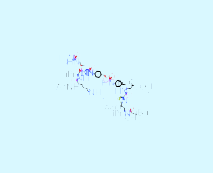 CC[C@H](C)CC(=O)N(C)[C@H](C[C@@H](OC(C)=O)c1nc(C(=O)N[C@@H](Cc2ccc(NC(=O)OCc3ccc(NC(=O)[C@H](CCCNC(N)=O)NC(=O)[C@@H](NC(=O)[C@H](CCCCN)NC(C)=O)C(C)C)cc3)cc2)C[C@H](C)C(=O)O)cs1)C(C)C